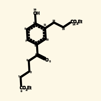 CCOC(=O)CCCC(=O)c1ccc(O)c(CCC(=O)OCC)c1